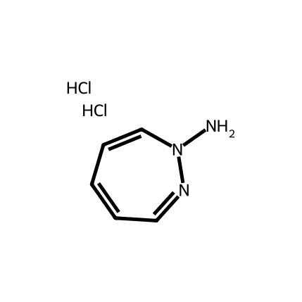 Cl.Cl.NN1C=CC=CC=N1